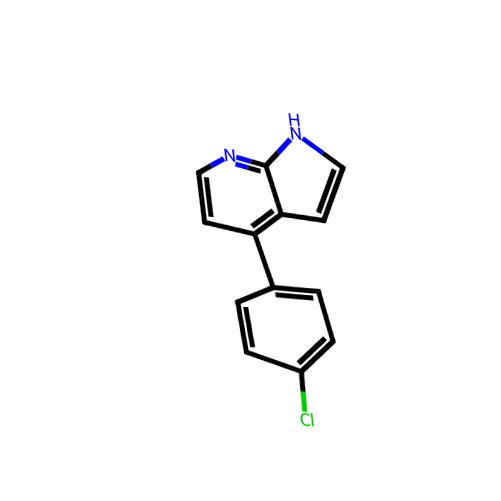 Clc1ccc(-c2ccnc3[nH]ccc23)cc1